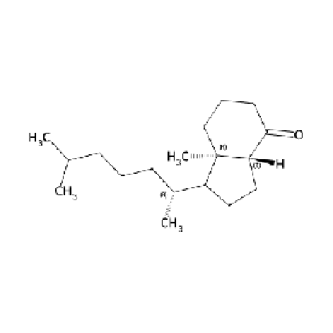 CC(C)CCC[C@@H](C)C1CC[C@H]2C(=O)CCC[C@]12C